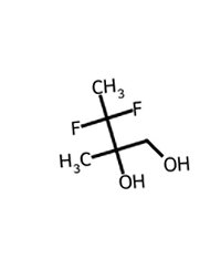 CC(F)(F)C(C)(O)CO